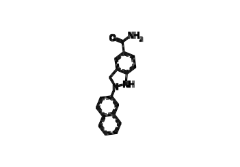 NC(=O)c1ccc2c(c1)CN(c1ccc3ccccc3c1)N2